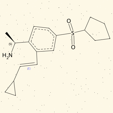 C[C@H](N)c1ccc(S(=O)(=O)C2CCCC2)cc1/C=C/C1CC1